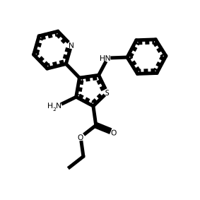 CCOC(=O)c1sc(Nc2ccccc2)c(-c2ccccn2)c1N